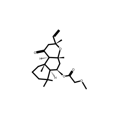 C=C[C@@]1(C)CC(=O)[C@@H]2[C@@]3(C)CCCC(C)(C)[C@@H]3[C@H](OC(=O)COC)C[C@@]2(C)O1